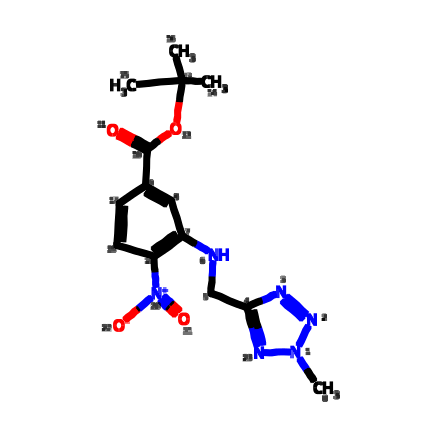 Cn1nnc(CNc2cc(C(=O)OC(C)(C)C)ccc2[N+](=O)[O-])n1